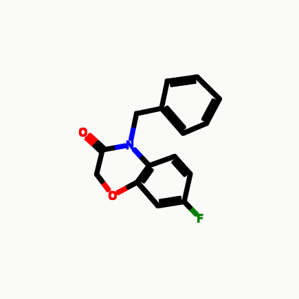 O=C1COc2cc(F)ccc2N1Cc1ccccc1